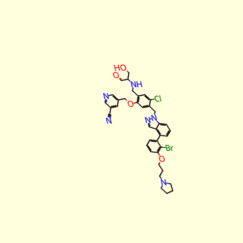 N#Cc1cncc(COc2cc(Cn3ncc4c(-c5cccc(OCCCN6CCCC6)c5Br)cccc43)c(Cl)cc2CNC(C=O)CO)c1